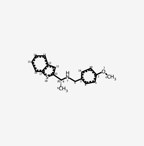 COc1ccc(CN[C@H](C)c2cc3ccccc3s2)cc1